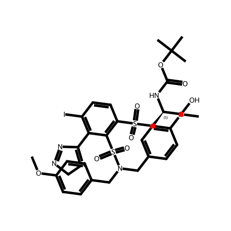 COc1ccc(CN(Cc2ccc(OC)cc2)S(=O)(=O)c2c(S(=O)(=O)C[C@H](CO)NC(=O)OC(C)(C)C)ccc(I)c2C2=NCN=N2)cc1